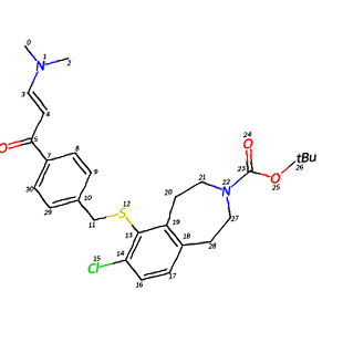 CN(C)/C=C/C(=O)c1ccc(CSc2c(Cl)ccc3c2CCN(C(=O)OC(C)(C)C)CC3)cc1